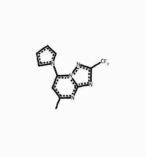 Cc1cc(-n2cccc2)n2nc(C(F)(F)F)nc2n1